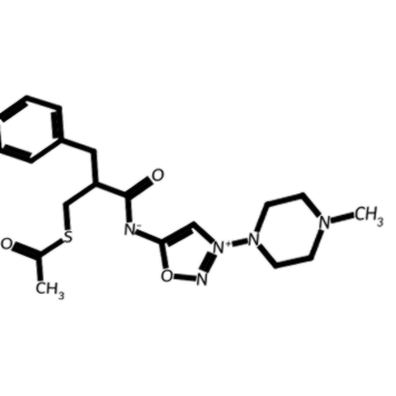 CC(=O)SCC(Cc1ccccc1)C(=O)[N-]c1c[n+](N2CCN(C)CC2)no1